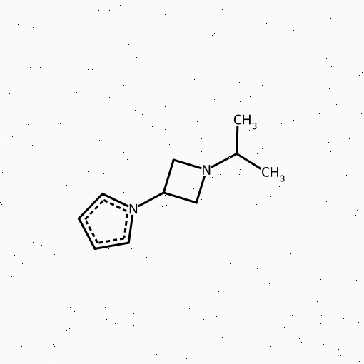 CC(C)N1CC(n2cccc2)C1